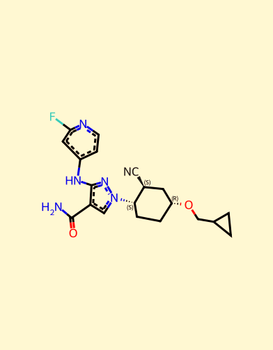 N#C[C@H]1C[C@H](OCC2CC2)CC[C@@H]1n1cc(C(N)=O)c(Nc2ccnc(F)c2)n1